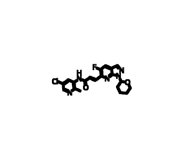 Cc1ncc(Cl)cc1NC(=O)/C=C/c1nc2c(cnn2C2CCCCO2)cc1F